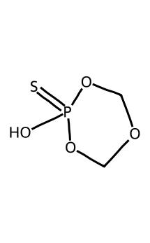 OP1(=S)OCOCO1